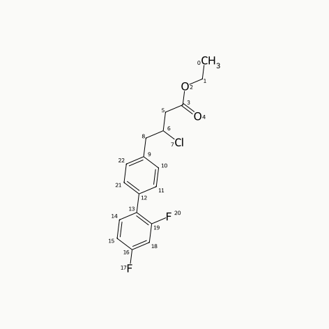 CCOC(=O)CC(Cl)Cc1ccc(-c2ccc(F)cc2F)cc1